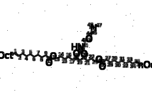 CCCCCCCC/C=C/CCCCCCCC(=O)OCCCCCC(CCCCCOC(=O)CCCCCCC/C=C/CCCCCCCC)OC(=O)NCCOCCN(C)C